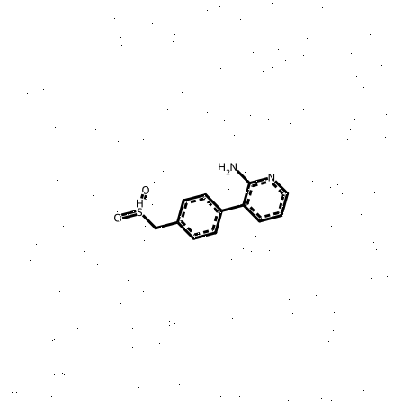 Nc1ncccc1-c1ccc(C[SH](=O)=O)cc1